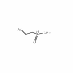 CO[PH](=O)CCC(C)=O